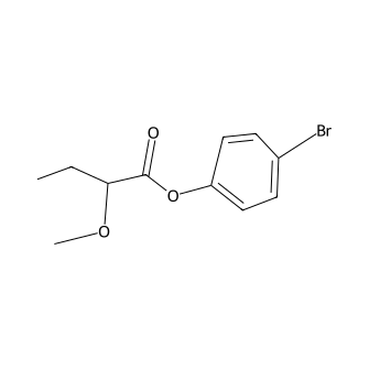 CCC(OC)C(=O)Oc1ccc(Br)cc1